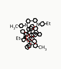 CCc1ccc(N(c2cccc(-c3cccc(N(c4ccc(C)cc4)c4cc5c(c6ccccc46)-c4c(c6ccc(N(c7ccccc7)c7ccc(C)cc7)cc6c6ccccc46)C54c5ccccc5-c5ccccc54)c3)c2)c2ccc3c4c(c5ccccc5c3c2)-c2c(cc(N(c3ccccc3)c3ccc(CC)cc3)c3ccccc23)C42c3ccccc3-c3ccccc32)cc1